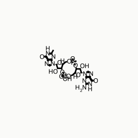 Cc1nc2c(ncn2[C@@H]2O[C@@H]3COP(C)(=O)OC4[C@@H](COP(=O)(O)OC3[C@@H]2O)O[C@@H](n2cnc3c(=O)[nH]c(N)nc32)[C@H]4O)c(=O)[nH]1